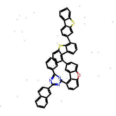 c1ccc(-c2nc(-c3ccc4ccccc4c3)nc(-c3cccc4oc5ccc(-c6cccc7sc8c(-c9ccc%10c(c9)sc9ccccc9%10)cccc8c67)cc5c34)n2)cc1